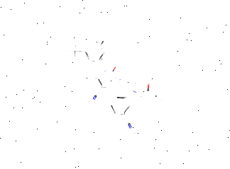 C=C/C=C(\C=C\C(F)(F)F)N1C(=O)N(C)[C@H](c2ccc(C#N)cc2[S@](C)(=O)=NC(=O)C(F)(F)F)C(C#N)=C1C